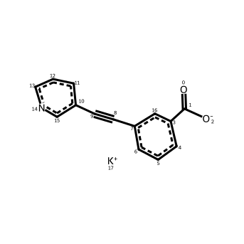 O=C([O-])c1cccc(C#Cc2cccnc2)c1.[K+]